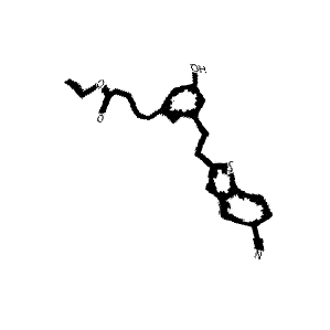 CCOC(=O)CCc1cc(O)cc(CCc2cc3cc(C#N)ccc3s2)c1